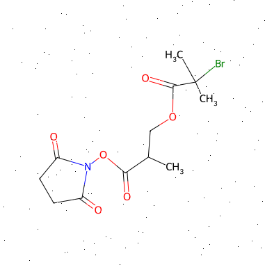 CC(COC(=O)C(C)(C)Br)C(=O)ON1C(=O)CCC1=O